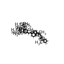 C=C1C(=CC=C2CCC[C@]3(C)C([C@H](C)OCC(=O)OC4(CC)CCCC4)=CC[C@@H]23)C[C@@H](O[Si](C)(C)C(C)(C)C)C[C@@H]1O[Si](C)(C)C(C)(C)C